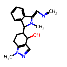 C=N/C=C1/c2ccccc2C(C2CCc3c(cnn3C)C2O)N1C